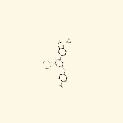 O=C(O)c1ccc(Nc2cc(-c3ccc4c(c3)ncn4C3CC3)nc(N3CCOCC3)n2)cc1